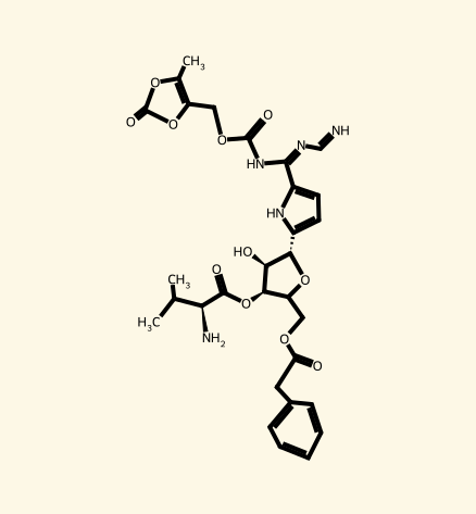 Cc1oc(=O)oc1COC(=O)N/C(=N/C=N)c1ccc([C@@H]2OC(COC(=O)Cc3ccccc3)[C@@H](OC(=O)[C@@H](N)C(C)C)[C@H]2O)[nH]1